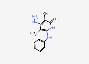 C=C1NC(Nc2ccccc2)=C(C(=O)O)C(NN)=C1C#N